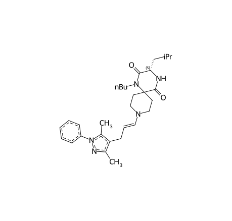 CCCCN1C(=O)[C@H](CC(C)C)NC(=O)C12CCN(C=CCc1c(C)nn(-c3ccccc3)c1C)CC2